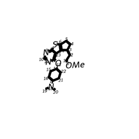 COCCC1CCc2sc3ncnc(O[C@H]4CC[C@H](N(C)C)CC4)c3c21